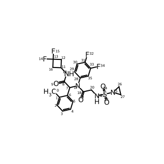 Cc1ccccc1C(C(=O)NC1CC(F)(F)C1)N(C(=O)CNS(=O)(=O)N1CC1)c1ccc(F)c(F)c1